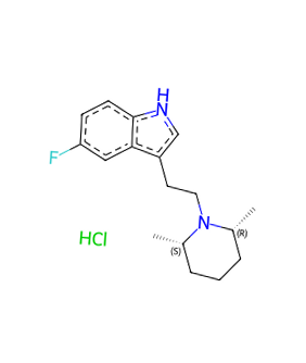 C[C@@H]1CCC[C@H](C)N1CCc1c[nH]c2ccc(F)cc12.Cl